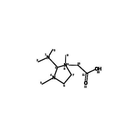 CN(C)C1N(C)CC[N+]1(C)CC(=O)O